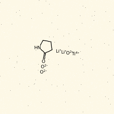 O=C1CCCN1.[Li+].[Li+].[O-2].[O-2].[O-2].[Ti+4]